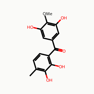 COc1c(O)cc(C(=O)c2ccc(C)c(O)c2O)cc1O